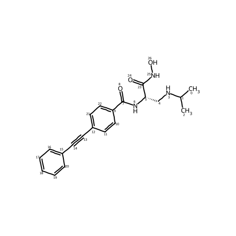 CC(C)NC[C@H](NC(=O)c1ccc(C#Cc2ccccc2)cc1)C(=O)NO